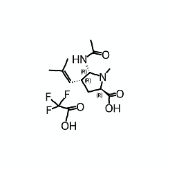 CC(=O)N[C@H]1[C@@H](C=C(C)C)C[C@H](C(=O)O)N1C.O=C(O)C(F)(F)F